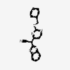 N#CC(c1ccnc(OCc2ccccc2)n1)c1nc2ccccc2s1